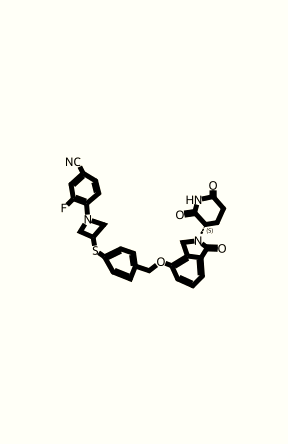 N#Cc1ccc(N2CC(Sc3ccc(COc4cccc5c4CN([C@H]4CCC(=O)NC4=O)C5=O)cc3)C2)c(F)c1